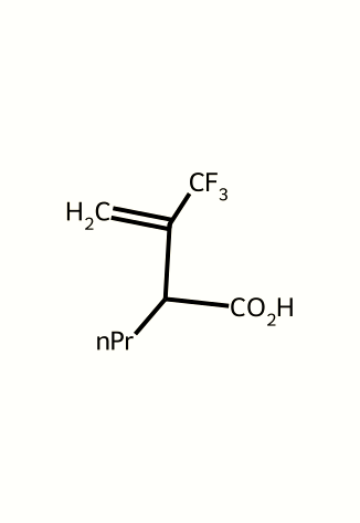 C=C(C(CCC)C(=O)O)C(F)(F)F